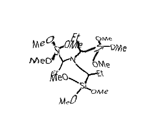 CCC(N(C(CC)[Si](OC)(OC)OC)C(CC)[Si](OC)(OC)OC)[Si](OC)(OC)OC